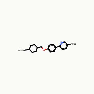 CCCCCC1CCC(COc2ccc(-c3ccc(CCCC)cn3)cc2)CC1